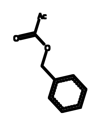 [CH2]C(=O)C(=O)OCc1ccccc1